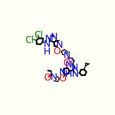 C=CC(=O)N1CCC(Oc2cc3c(Nc4cccc(C5CC5)c4)nc(/C=C\C(=O)N4CCC(Oc5cc6c(Nc7ccc(Cl)c(Cl)c7)ncnc6cn5)C4)nc3cn2)C1